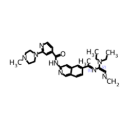 C=N/C=C(\N=C(/C)c1ccc2cnc(NC(=O)c3ccnc(N4CCN(C)CC4)c3)cc2c1)N(CC)CC